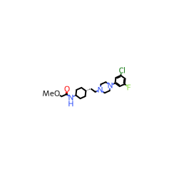 COCC(=O)N[C@H]1CC[C@H](CCN2CCN(c3cc(F)cc(Cl)c3)CC2)CC1